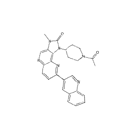 CC(=O)N1CCC(n2c(=O)n(C)c3cnc4ccc(-c5cnc6ccccc6c5)nc4c32)CC1